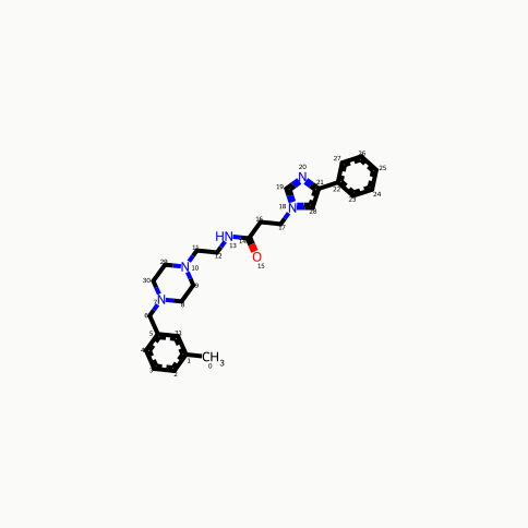 Cc1cccc(CN2CCN(CCNC(=O)CCn3cnc(-c4ccccc4)c3)CC2)c1